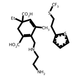 CCC1(C(=O)O)C=C(C)C(CNCCN)=C(C(=O)O)C1.FC(F)(F)SCCc1cccs1